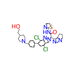 O=C(Nc1nccs1)C(c1ncn2c1CCC2)n1cc2c(Cl)cc(-c3ccc(CN4CCC(CCO)CC4)cc3)c(Cl)c2n1